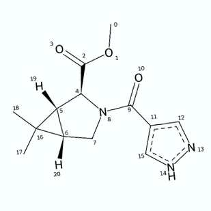 COC(=O)[C@@H]1[C@@H]2[C@H](CN1C(=O)c1cn[nH]c1)C2(C)C